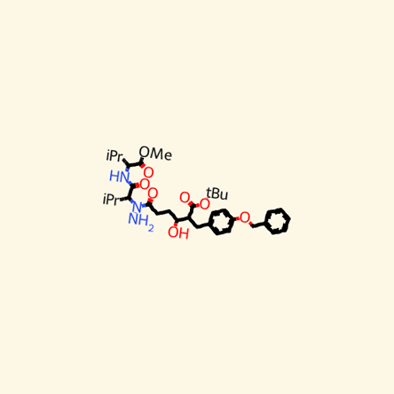 COC(=O)C(NC(=O)C(C(C)C)N(N)C(=O)CCC(O)C(Cc1ccc(OCc2ccccc2)cc1)C(=O)OC(C)(C)C)C(C)C